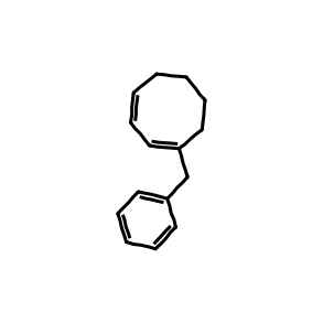 C1=CCCCCC(Cc2ccccc2)=C1